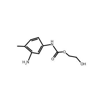 Cc1ccc(NC(=O)OCCO)cc1N